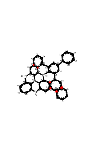 c1ccc(-c2cc3c4c(c2)B(c2c(-c5ccccc5)cc(-c5ccccc5)cc2-c2ccccc2)c2cccc5c2N4c2c(cccc2O3)O5)cc1